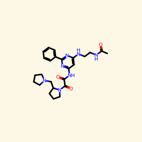 CC(=O)NCCNc1cc(NC(=O)C(=O)N2CCCC2CN2CCCC2)nc(-c2ccccc2)n1